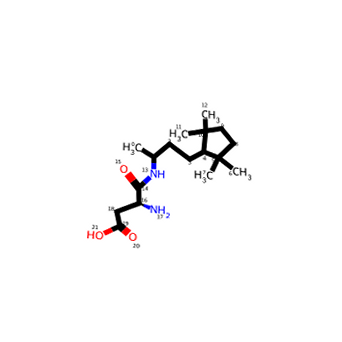 CC(CCC1C(C)(C)CCC1(C)C)NC(=O)[C@@H](N)CC(=O)O